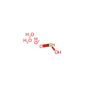 O.O.O.O=[SH]O